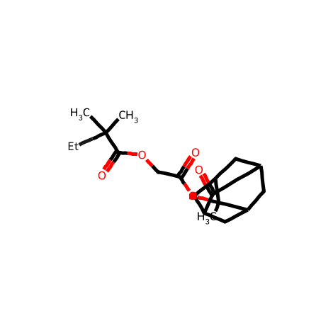 CCC(C)(C)C(=O)OCC(=O)OC1(C)C2CC3CC1CC(C2)C3=O